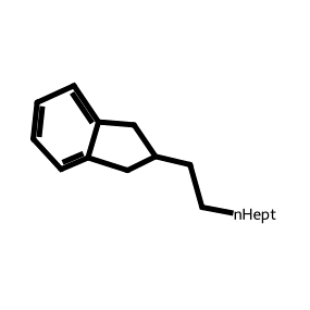 CCCCCCCCCC1Cc2ccccc2C1